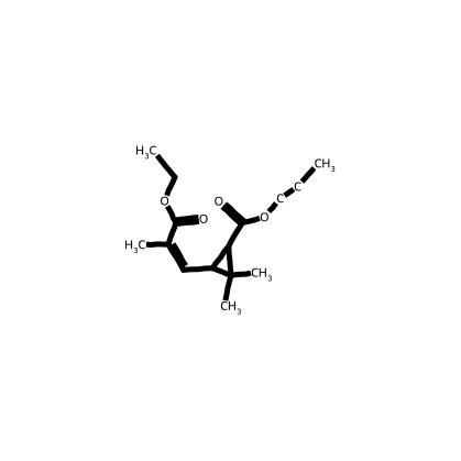 CCCOC(=O)C1C(C=C(C)C(=O)OCC)C1(C)C